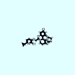 CCc1nc(C2CC2)ccc1OCC(=O)N1CCc2nc3n(c2C1c1ccc(Cl)cc1F)CCS3